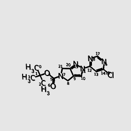 CC(C)(C)OC(=O)N1Cc2cn(-c3cc(Cl)ncn3)nc2C1